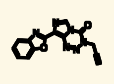 C#CCn1nnc2c(-c3nc4ccccc4o3)ncn2c1=O